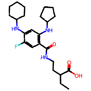 CCC(CCNC(=O)c1cc(F)c(NC2CCCCC2)cc1NC1CCCC1)C(=O)O